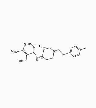 C=Cc1c(NC)ncnc1N[C@@H]1CCN(CCc2ccc(C)cc2)C[C@H]1F